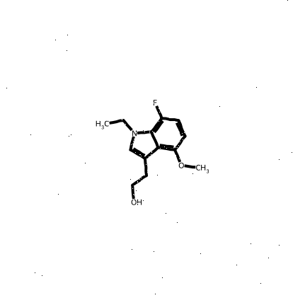 CCn1cc(CCO)c2c(OC)ccc(F)c21